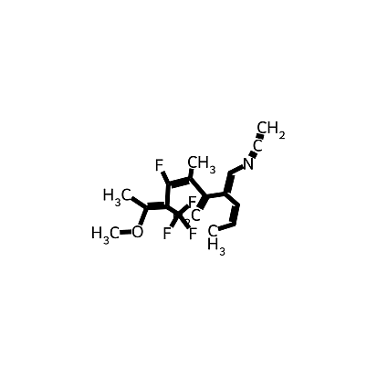 C=C=N/C=C(\C=C/C)C(=C)/C(C)=C(F)\C(=C(/C)OC)C(F)(F)F